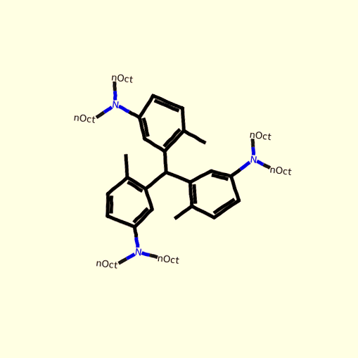 CCCCCCCCN(CCCCCCCC)c1ccc(C)c(C(c2cc(N(CCCCCCCC)CCCCCCCC)ccc2C)c2cc(N(CCCCCCCC)CCCCCCCC)ccc2C)c1